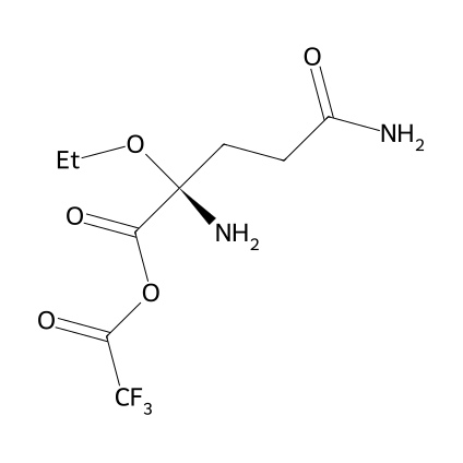 CCO[C@](N)(CCC(N)=O)C(=O)OC(=O)C(F)(F)F